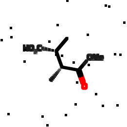 COC(=O)[C@H](C)[C@@H](C)C(=O)O